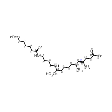 CCCCCCCCCCCCCCCC(=O)NCCCCNC(CCCCN(N)/C=C(\N)CCC(=O)C(C)C)C(=O)O